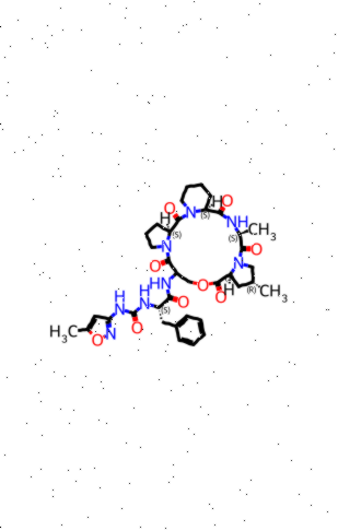 Cc1cc(NC(=O)N[C@@H](Cc2ccccc2)C(=O)NC2COC(=O)[C@@H]3C[C@@H](C)CN3C(=O)[C@H](C)NC(=O)[C@@H]3CCCCN3C(=O)[C@@H]3CCCN3C2=O)no1